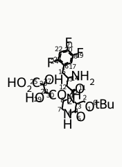 CC(C)(C)OCC1C(=O)NCCN1C(=O)CC(N)Cc1cc(F)c(F)cc1F.O=C(O)C(O)C(O)C(=O)O